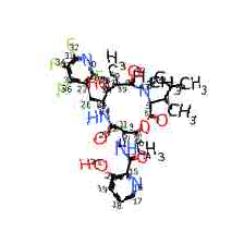 CC(C)C(C)C1C(=O)O[C@H](C)[C@H](NC(=O)c2ncccc2O)C(=O)N[C@@H](Cc2c(F)nc(F)c(F)c2F)[C@@H](O)[C@@H](C)C(=O)N1C